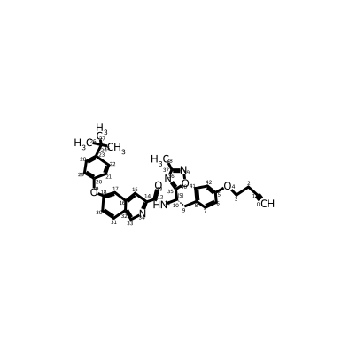 C#CCCOc1ccc(C[C@H](NC(=O)c2cc3cc(Oc4ccc(C(C)(C)C)cc4)ccc3cn2)c2nc(C)no2)cc1